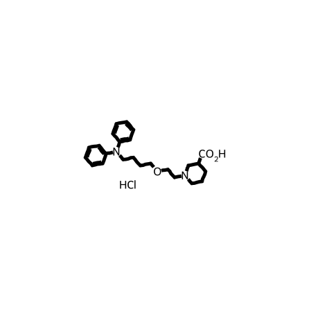 Cl.O=C(O)C1CCCN(CCOCCCCN(c2ccccc2)c2ccccc2)C1